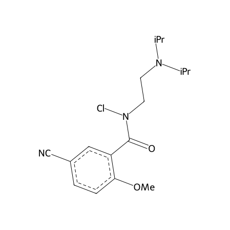 COc1ccc(C#N)cc1C(=O)N(Cl)CCN(C(C)C)C(C)C